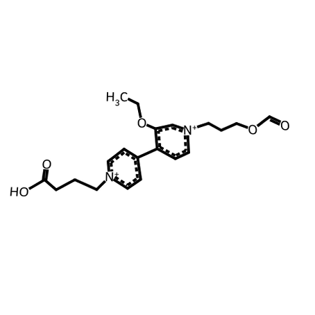 CCOc1c[n+](CCCOC=O)ccc1-c1cc[n+](CCCC(=O)O)cc1